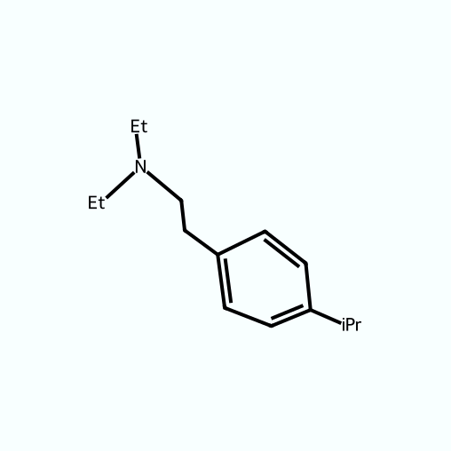 CCN(CC)CCc1ccc(C(C)C)cc1